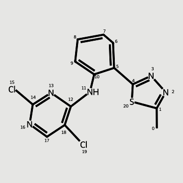 Cc1nnc(-c2ccccc2Nc2nc(Cl)ncc2Cl)s1